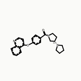 O=C(c1ccc(Oc2ccnc3ccccc23)cc1)N1CC[C@H](N2CCCC2)C1